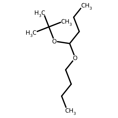 CCCCOC(CCC)OC(C)(C)C